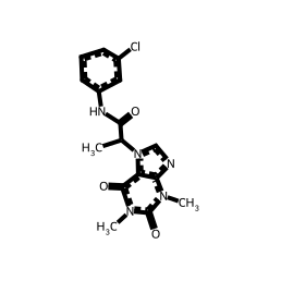 CC(C(=O)Nc1cccc(Cl)c1)n1cnc2c1c(=O)n(C)c(=O)n2C